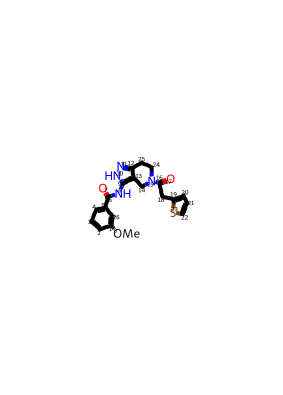 COc1cccc(C(=O)Nc2[nH]nc3c2CN(C(=O)Cc2cccs2)CC3)c1